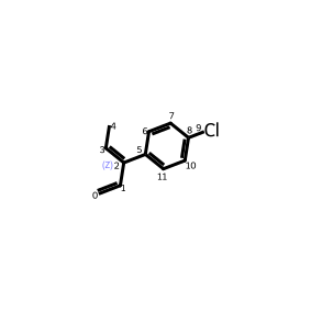 C=C/C(=C/C)c1ccc(Cl)cc1